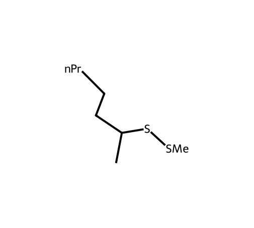 CCCCCC(C)SSC